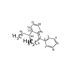 C=C(c1ccccc1)c1ccccc1C(C)CC